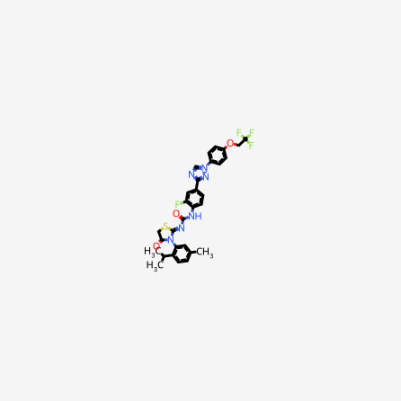 Cc1ccc(C(C)C)c(N2C(=O)CS/C2=N\C(=O)Nc2ccc(-c3ncn(-c4ccc(OCC(F)(F)F)cc4)n3)cc2F)c1